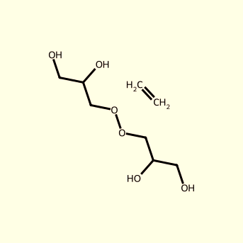 C=C.OCC(O)COOCC(O)CO